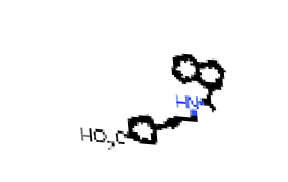 CC(NCC#Cc1ccc(C(=O)O)cc1)c1cccc2ccccc12